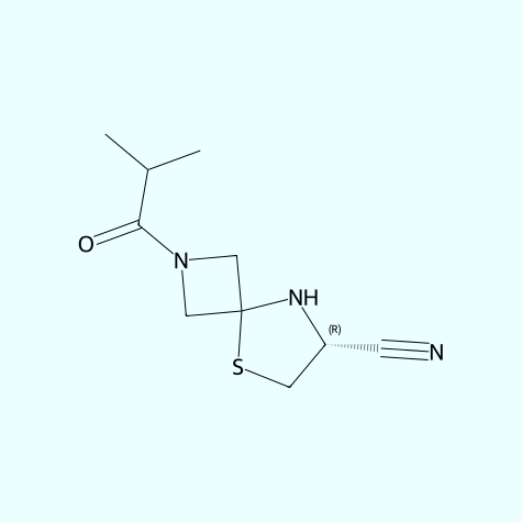 CC(C)C(=O)N1CC2(C1)N[C@H](C#N)CS2